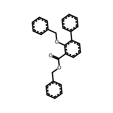 O=C(OCc1ccccc1)c1cccc(-c2ccccc2)c1OCc1ccccc1